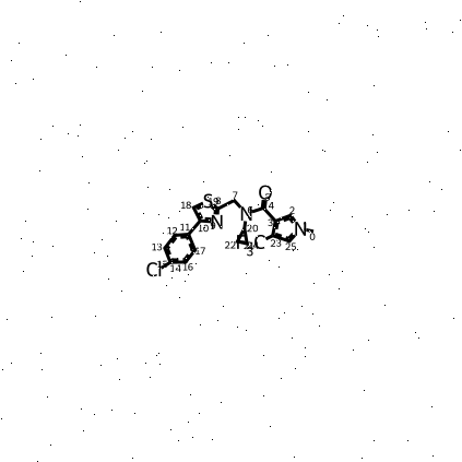 Cn1cc(C(=O)N(Cc2nc(-c3ccc(Cl)cc3)cs2)C2CC2)c(C(F)(F)F)c1